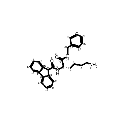 NCCCC[C@H](NC(=O)C1c2ccccc2-c2ccccc21)C(=O)OCc1ccccc1